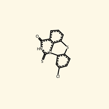 O=c1[nH]c(=S)n2c3c(cccc13)Sc1ccc(Cl)cc1-2